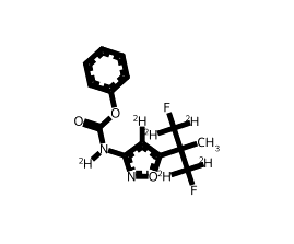 [2H]c1c(N([2H])C(=O)Oc2ccccc2)noc1C(C)(C([2H])([2H])F)C([2H])([2H])F